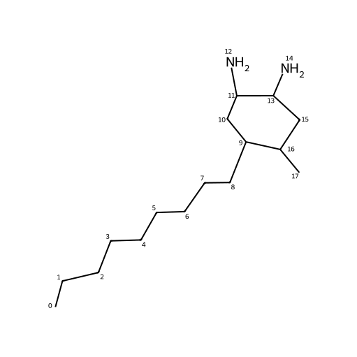 CCCCCCCCCC1CC(N)C(N)CC1C